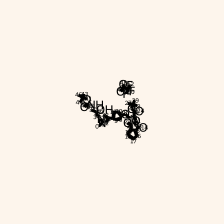 C[n+]1cc(-c2ccc(OC[C@H](ON3C(=O)c4ccccc4C3=O)C(=O)OC(C)(C)C)cc2)cn1CC(O)CNC(=O)OC(C)(C)C.O=C([O-])C(F)(F)F